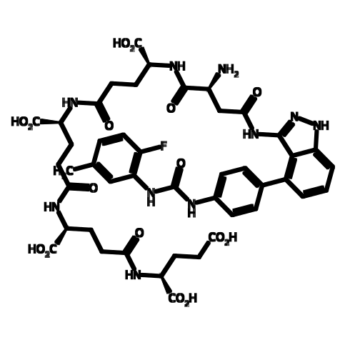 Cc1ccc(F)c(NC(=O)Nc2ccc(-c3cccc4[nH]nc(NC(=O)C[C@H](N)C(=O)N[C@@H](CCC(=O)N[C@@H](CCC(=O)N[C@@H](CCC(=O)N[C@@H](CCC(=O)O)C(=O)O)C(=O)O)C(=O)O)C(=O)O)c34)cc2)c1